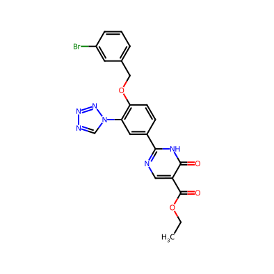 CCOC(=O)c1cnc(-c2ccc(OCc3cccc(Br)c3)c(-n3cnnn3)c2)[nH]c1=O